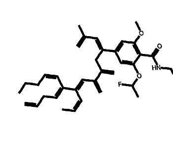 C=CC/C=C(\C=C/CCC)C(/C=C\C)=C/C(=C)C(=C)C/C(=C\C(=C)C)c1cc(OC)c(C(=O)NCC)c(OC(C)F)c1